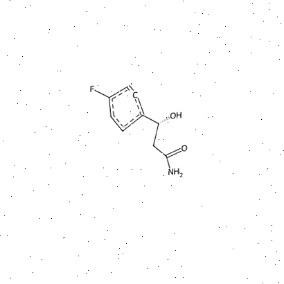 NC(=O)C[C@@H](O)c1ccc(F)cc1